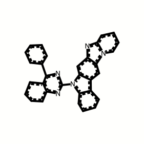 c1ccc(-c2nc(-n3c4ccccc4c4cc5c(cc43)nc3ccccn35)nc3ccccc23)cc1